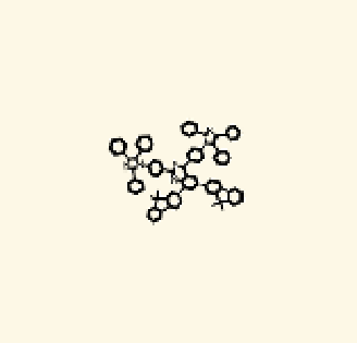 CC1(C)c2ccccc2-c2ccc(-c3cc(-c4ccc5c(c4)C(C)(C)c4ccccc4-5)c4nc(-c5ccc(-n6c(-c7ccccc7)nc(-c7ccccc7)c6-c6ccccc6)cc5)nc(-c5ccc(C6C(c7ccccc7)=NC(c7ccccc7)=C6c6ccccc6)cc5)c4c3)cc21